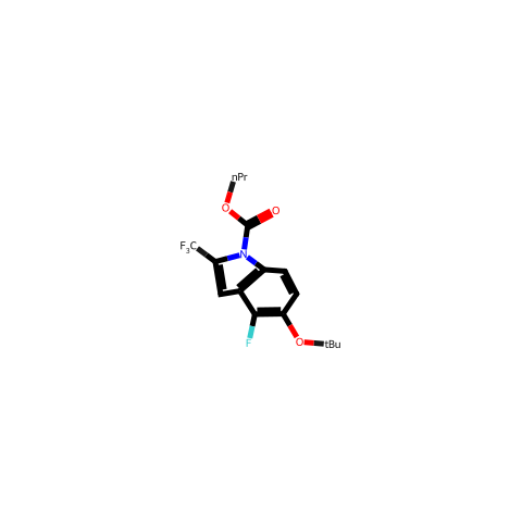 CCCOC(=O)n1c(C(F)(F)F)cc2c(F)c(OC(C)(C)C)ccc21